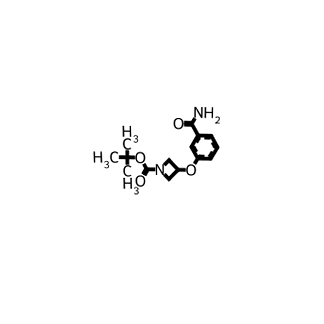 CC(C)(C)OC(=O)N1CC(Oc2cccc(C(N)=O)c2)C1